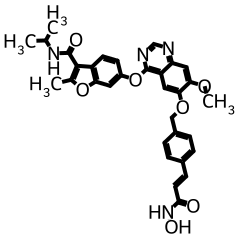 COc1cc2ncnc(Oc3ccc4c(C(=O)NC(C)C)c(C)oc4c3)c2cc1OCc1ccc(C=CC(=O)NO)cc1